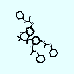 CC(Oc1ccc(C2(C)CC(C)(C)Oc3cc(OC(C)OC4CCCCC4)ccc32)c(OC(C)OC2CCCCC2)c1)OC1CCCCC1